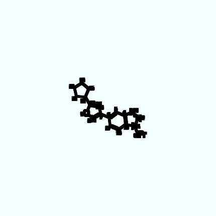 CC(C)n1nnc2cc(-c3noc(C4CCCC4)n3)ccc21